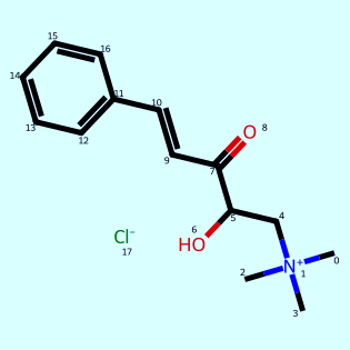 C[N+](C)(C)CC(O)C(=O)/C=C/c1ccccc1.[Cl-]